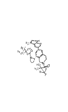 Cc1c[nH]c2ncc(-c3cc4c(c([C@@H]5CCCN5C(=O)OC(C)(C)C)c3)CN(C(=O)[C@@](C)(O)C(F)(F)F)CC4)cc12